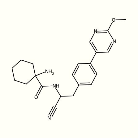 COc1ncc(-c2ccc(CC(C#N)NC(=O)C3(N)CCCCC3)cc2)cn1